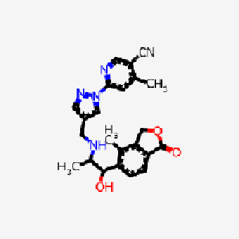 Cc1cc(-n2cc(CNC(C)C(O)c3ccc4c(c3C)COC4=O)cn2)ncc1C#N